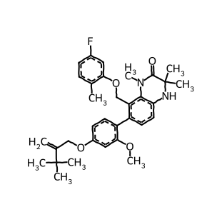 C=C(COc1ccc(-c2ccc3c(c2COc2cc(F)ccc2C)N(C)C(=O)C(C)(C)N3)c(OC)c1)C(C)(C)C